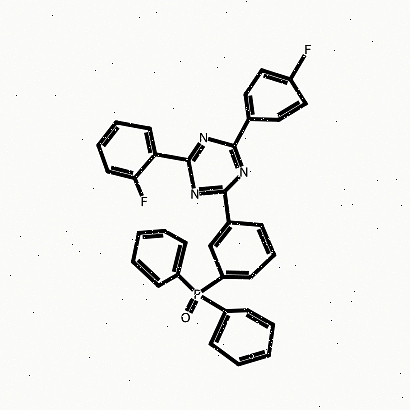 O=P(c1ccccc1)(c1ccccc1)c1cccc(-c2nc(-c3ccc(F)cc3)nc(-c3ccccc3F)n2)c1